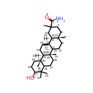 CC1(C(N)=O)CC[C@]2(C)CC[C@]3(C)C(=CC[C@@H]4[C@@]5(C)CCC(O)C(C)(C)C5CC[C@]43C)[C@H]2C1